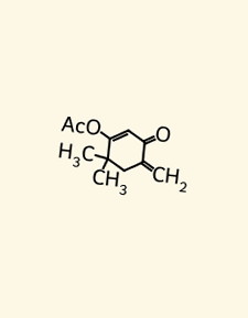 C=C1CC(C)(C)C(OC(C)=O)=CC1=O